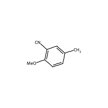 [C-]#[N+]c1cc(C)ccc1OC